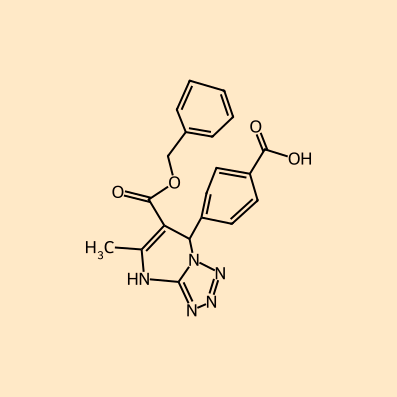 CC1=C(C(=O)OCc2ccccc2)C(c2ccc(C(=O)O)cc2)n2nnnc2N1